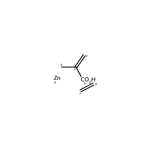 C=C.C=C(C)C(=O)O.[Zn]